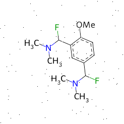 COc1ccc(C(F)N(C)C)[c]c1C(F)N(C)C